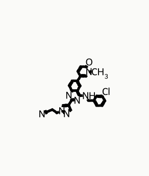 Cn1cc(-c2ccc3nc(-c4cnn(CCC#N)c4)nc(NCc4cccc(Cl)c4)c3c2)ccc1=O